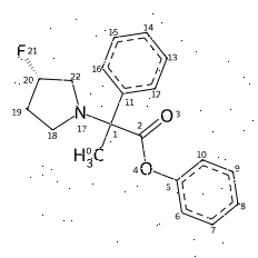 CC(C(=O)Oc1ccccc1)(c1ccccc1)N1CC[C@H](F)C1